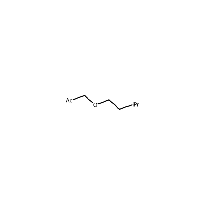 CC(=O)COCCC(C)C